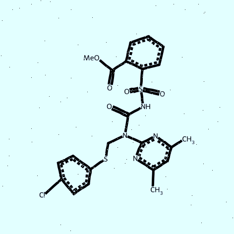 COC(=O)c1ccccc1S(=O)(=O)NC(=O)N(CSc1ccc(Cl)cc1)c1nc(C)cc(C)n1